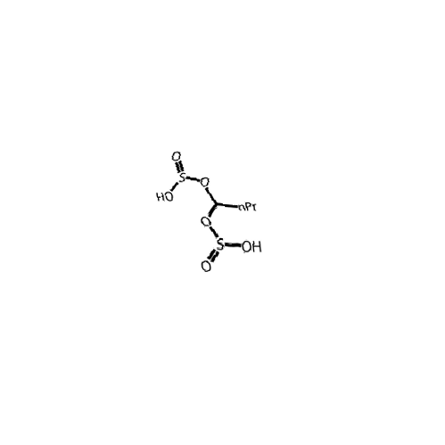 CCCC(OS(=O)O)OS(=O)O